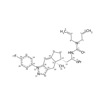 C=CCN(CC=C)C(=O)NC(CCC)C[C@H]1CCC2=Cc3c(cnn3-c3ccc(F)cc3)C[C@@]21C